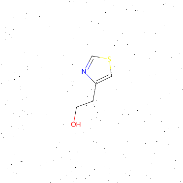 OCCc1cscn1